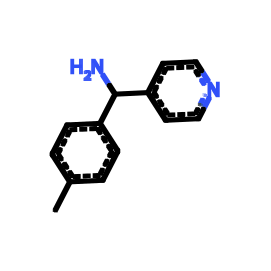 Cc1ccc(C(N)c2ccncc2)cc1